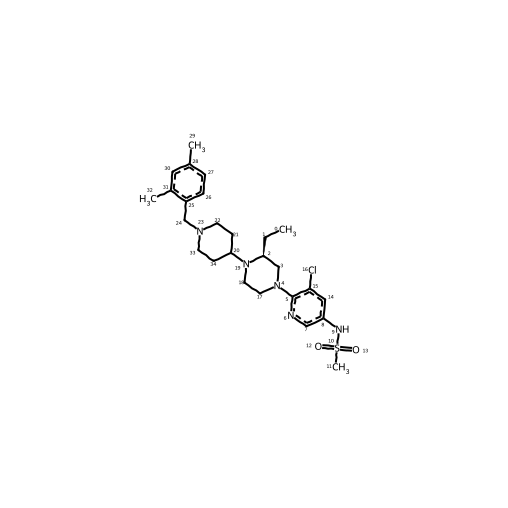 CC[C@H]1CN(c2ncc(NS(C)(=O)=O)cc2Cl)CCN1C1CCN(Cc2ccc(C)cc2C)CC1